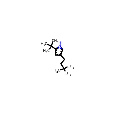 CC(C)(C)CCc1c[nH]c(C(C)(C)C)c1